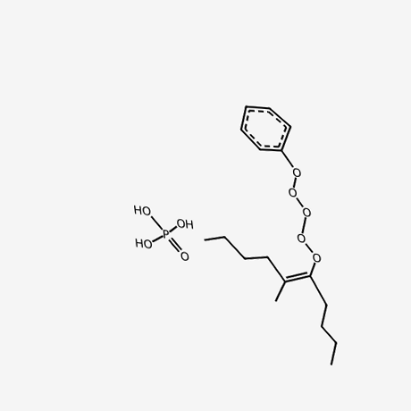 CCCCC(C)=C(CCCC)OOOOOc1ccccc1.O=P(O)(O)O